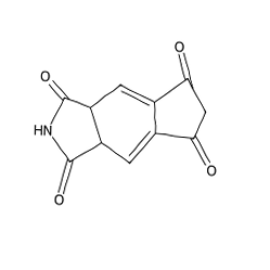 O=C1CC(=O)C2=CC3C(=O)NC(=O)C3C=C12